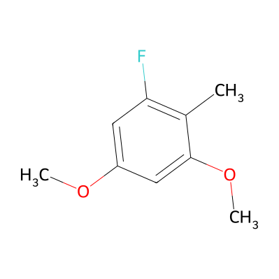 COc1cc(F)c(C)c(OC)c1